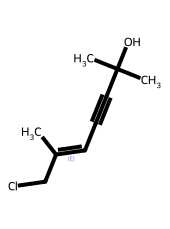 C/C(=C\C#CC(C)(C)O)CCl